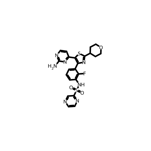 Nc1nccc(-c2sc(C3CCOCC3)nc2-c2cccc(NS(=O)(=O)c3cnccn3)c2F)n1